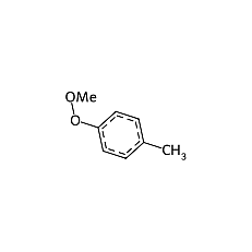 [CH2]OOc1ccc(C)cc1